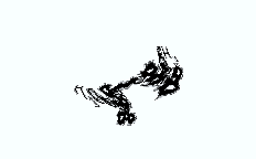 CCOCOc1c(-n2c3ccccc3c3ccccc32)csc1-c1ccccc1OCCCOc1ccccc1-c1scc(-n2c3ccccc3c3ccccc32)c1OCOCC